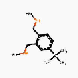 CCCCPCc1ccc([Si](C)(C)C)cc1CPCCCC